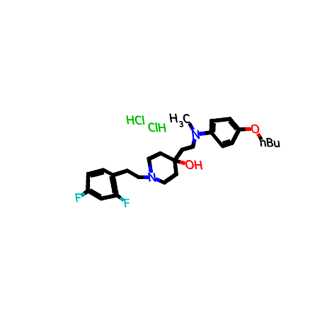 CCCCOc1ccc(N(C)CCC2(O)CCN(CCc3ccc(F)cc3F)CC2)cc1.Cl.Cl